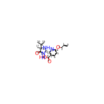 C=CCOc1ccc(C(=O)O)c([C@@H]2NC(=O)[C@](C)(C(C)C)N2)n1